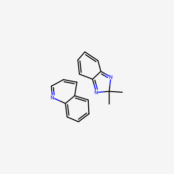 CC1(C)N=c2ccccc2=N1.c1ccc2ncccc2c1